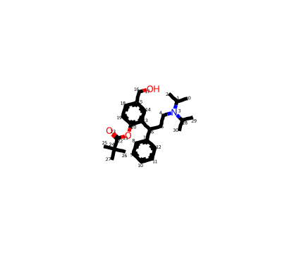 CC(C)N(CCC(c1ccccc1)c1cc(CO)ccc1OC(=O)C(C)(C)C)C(C)C